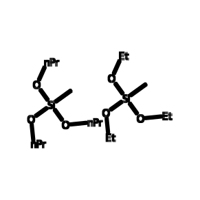 CCCO[Si](C)(OCCC)OCCC.CCO[Si](C)(OCC)OCC